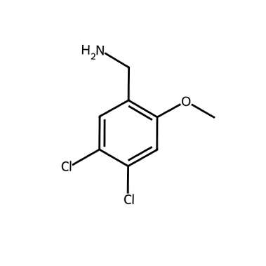 COc1cc(Cl)c(Cl)cc1CN